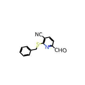 N#Cc1ccc(C=O)nc1SCc1ccccc1